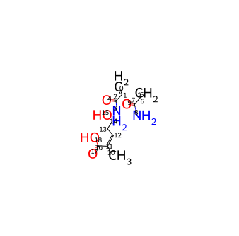 C=CC(N)=O.C=CC(N)=O.CC(=CCCO)C(=O)O